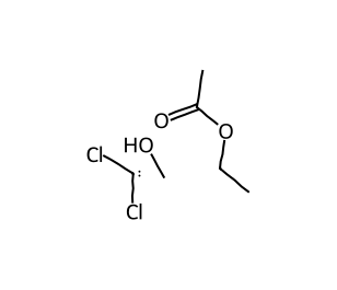 CCOC(C)=O.CO.Cl[C]Cl